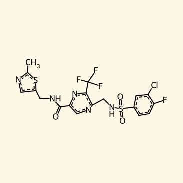 Cc1ncc(CNC(=O)c2cnc(CNS(=O)(=O)c3ccc(F)c(Cl)c3)c(C(F)(F)F)n2)s1